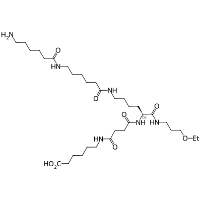 CCOCCCNC(=O)[C@H](CCCCNC(=O)CCCCCNC(=O)CCCCCN)NC(=O)CCC(=O)NCCCCCC(=O)O